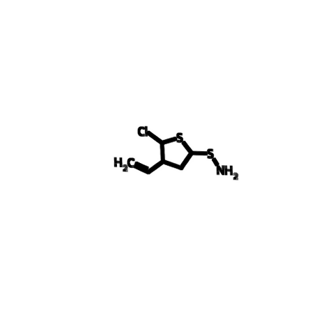 C=CC1CC(SN)SC1Cl